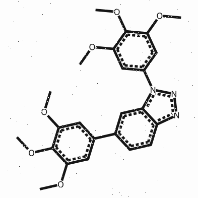 COc1cc(-c2ccc3nnn(-c4cc(OC)c(OC)c(OC)c4)c3c2)cc(OC)c1OC